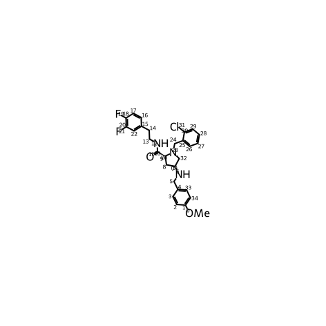 COc1ccc(CN[C@H]2C[C@@H](C(=O)NCCc3ccc(F)c(F)c3)N(Cc3ccccc3Cl)C2)cc1